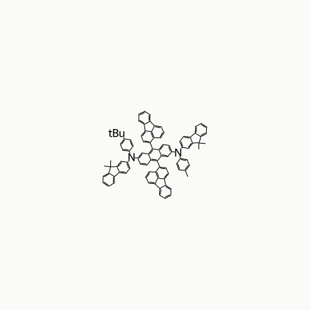 Cc1ccc(N(c2ccc3c(c2)C(C)(C)c2ccccc2-3)c2ccc3c(-c4ccc5c6c(cccc46)-c4ccccc4-5)c4cc(N(c5ccc(C(C)(C)C)cc5)c5ccc6c(c5)C(C)(C)c5ccccc5-6)ccc4c(-c4ccc5c6c(cccc46)-c4ccccc4-5)c3c2)cc1